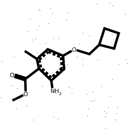 COC(=O)c1c(C)cc(OCC2CCC2)cc1N